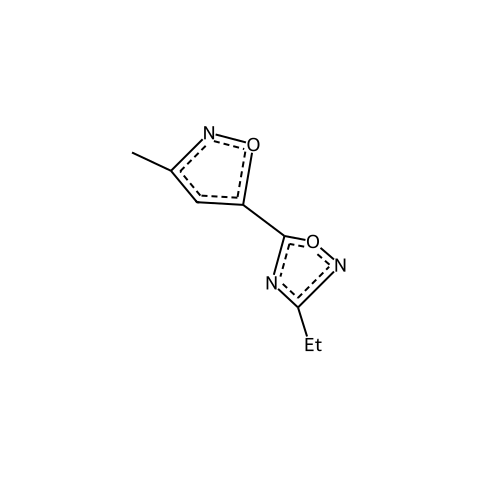 CCc1noc(-c2cc(C)no2)n1